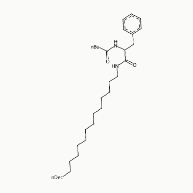 CCCCCCCCCCCCCCCCCCCCCCCNC(=O)C(Cc1ccccc1)NC(=O)CCCC